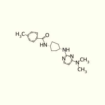 Cc1ccc(C(=O)N[C@H]2CC[C@@H](Nc3nccc(N(C)C)n3)CC2)cc1